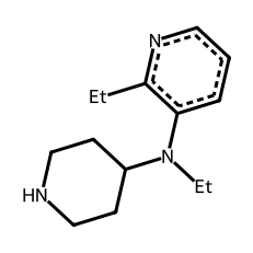 CCc1ncccc1N(CC)C1CCNCC1